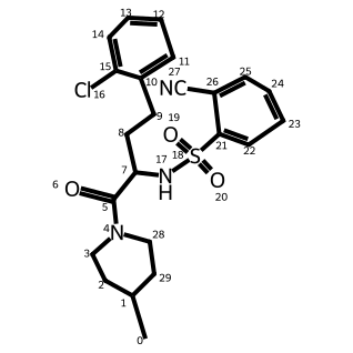 CC1CCN(C(=O)C(CCc2ccccc2Cl)NS(=O)(=O)c2ccccc2C#N)CC1